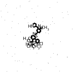 CCOC(=O)[C@@H](OC(C)(C)C)c1c(C)cc2nc(-c3ccc4c(c3)c(C3CCCNC3)nn4C)sc2c1-c1ccc(Cl)cc1